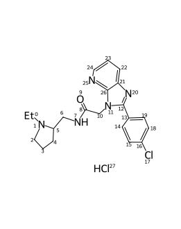 CCN1CCCC1CNC(=O)Cn1c(-c2ccc(Cl)cc2)nc2cccnc21.Cl